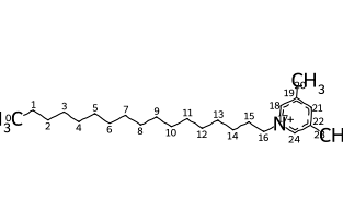 CCCCCCCCCCCCCCCCC[n+]1cc(C)cc(C)c1